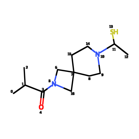 CC(C)C(=O)N1CC2(CCN(C(C)S)CC2)C1